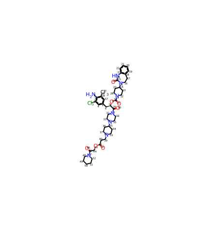 Nc1c(Cl)cc(C[C@@H](OC(=O)N2CCC(N3CCc4ccccc4NC3=O)CC2)C(=O)N2CCN(C3CCN(CCC(=O)OCC(=O)N4CCCCC4)CC3)CC2)cc1C(F)(F)F